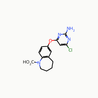 Nc1nc(Cl)cc(Oc2ccc3c(c2)CCCCN3C(=O)O)n1